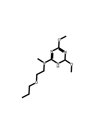 CCCOCCN(C)C1=NC(OC)=NC(OC)N1